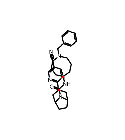 N#Cc1cnc(N2CC3CCC(C2)N3C(=O)NC2CCCN(Cc3ccccc3)CCC2)nc1